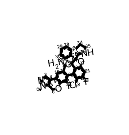 Cn1ncc2c1COc1c-2cc(C(N)=O)c(-c2c(Cl)c(F)cc3c2C[C@](c2ccccc2)([C@@H]2CCCN2)O3)c1F